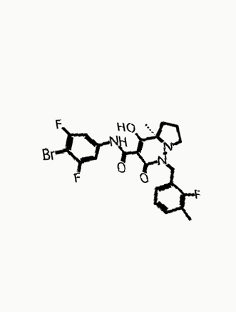 Cc1cccc(CN2C(=O)C(C(=O)Nc3cc(F)c(Br)c(F)c3)=C(O)[C@@]3(C)CCCN23)c1F